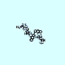 CN(C)C1COc2c(S(=O)(=O)NC(=O)Nc3c4c(cc5c3CC(C3CCc6cc7c(c(NC(=O)NS(=O)(=O)c8cnn9c8OCC9)c63)CCC7)C5)CCC4)cnn2C1